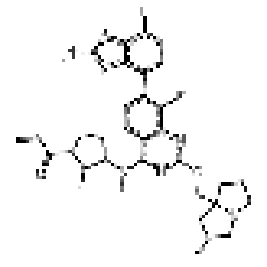 C=CC(=O)N1CCC(N(C)c2nc(OCC34CCCN3CC(F)C4)nc3c(F)c(-c4ccc(F)c5sc(N)nc45)ccc23)C1C